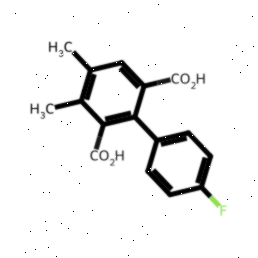 Cc1cc(C(=O)O)c(-c2ccc(F)cc2)c(C(=O)O)c1C